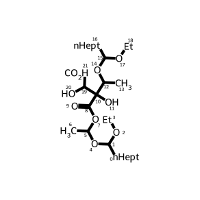 CCCCCCCC(OCC)OC(C)OC(=O)C(O)(C(C)OC(CCCCCCC)OCC)C(O)C(=O)O